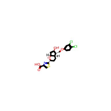 O=C(O)c1csc([C@H]2CC[C@@H]3[C@@H](COc4ccc(Cl)c(Cl)c4)[C@H](O)C[C@@H]3O2)n1